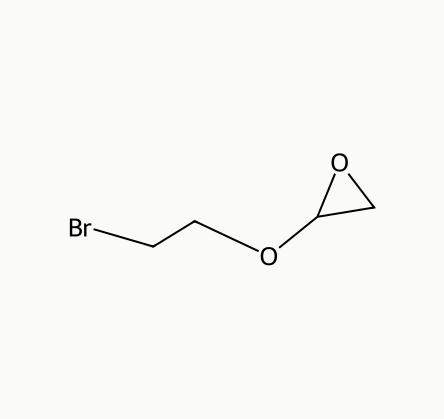 BrCCOC1CO1